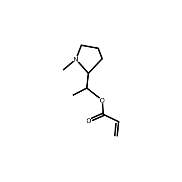 C=CC(=O)OC(C)C1CCCN1C